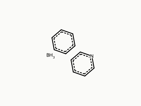 B.c1ccccc1.c1ccncc1